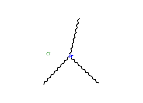 CCCCCCCCCCCCCCCC[N+](C)(CCCCCCCCCCCCCCCC)CCCCCCCCCCCCCCCC.[Cl-]